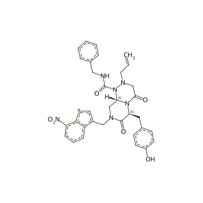 C=CCN1CC(=O)N2[C@@H](Cc3ccc(O)cc3)C(=O)N(Cc3csc4c([N+](=O)[O-])cccc34)C[C@@H]2N1C(=O)NCc1ccccc1